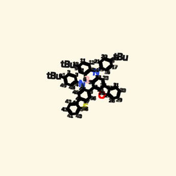 CC(C)(C)c1ccc(N2B3c4cc(C(C)(C)C)ccc4N(c4ccc(C(C)(C)C)cc4)c4cc5c(oc6ccccc65)c(c43)-c3cc4sc5ccccc5c4cc32)cc1